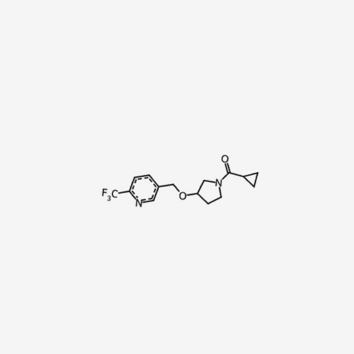 O=C(C1CC1)N1CCC(OCc2ccc(C(F)(F)F)nc2)C1